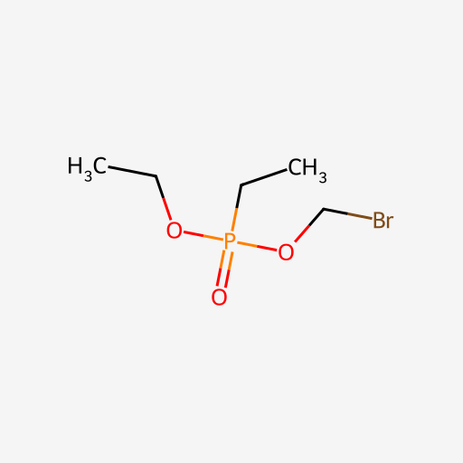 CCOP(=O)(CC)OCBr